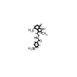 COc1ccc(C(=O)NCCc2c(C)[nH]c3c(F)ccc(C)c23)cc1